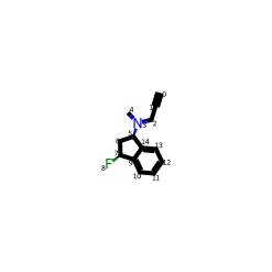 C#CCN(C)[C@@H]1C[C@H](F)c2ccccc21